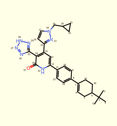 CC(C)(C)C1CC=C(c2ccc(-c3cc(-c4ccn(CC5CC5)n4)c(-c4nn[nH]n4)c(=O)[nH]3)cc2)CC1